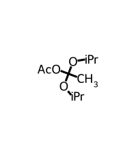 CC(=O)OC(C)(OC(C)C)OC(C)C